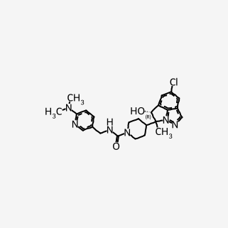 CN(C)c1ccc(CNC(=O)N2CCC(C3(C)[C@H](O)c4cc(Cl)cc5cnn3c45)CC2)cn1